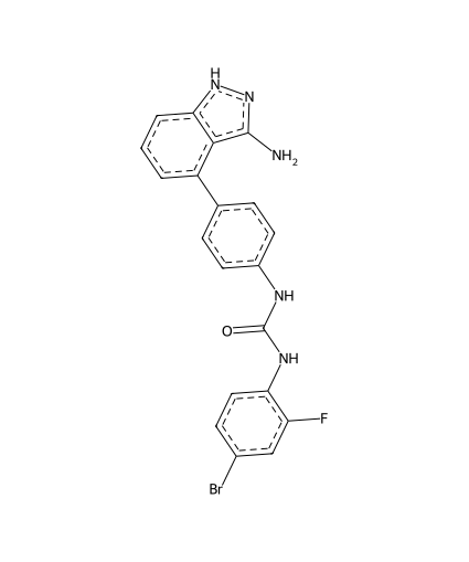 Nc1n[nH]c2cccc(-c3ccc(NC(=O)Nc4ccc(Br)cc4F)cc3)c12